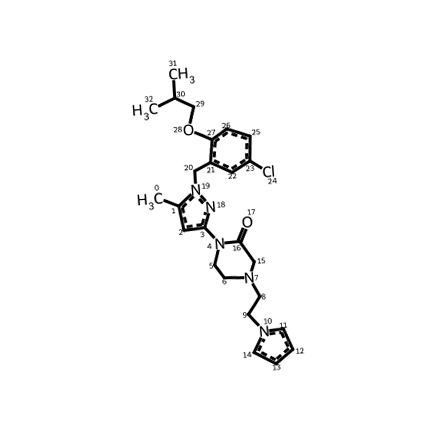 Cc1cc(N2CCN(CCn3cccc3)CC2=O)nn1Cc1cc(Cl)ccc1OCC(C)C